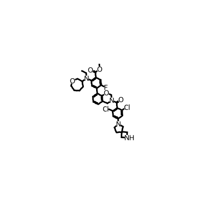 CCN(c1cc(-c2cccc3c2OCN(C(=O)c2c(Cl)cc(N4CCC5(CNC5)C4)cc2Cl)C3)c(F)cc1C(=O)OC)C1CCCCOC1